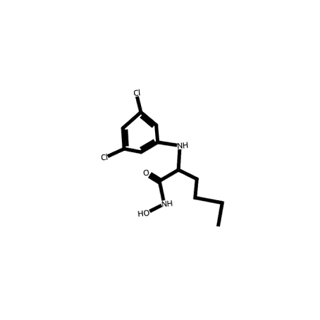 CCCCC(Nc1cc(Cl)cc(Cl)c1)C(=O)NO